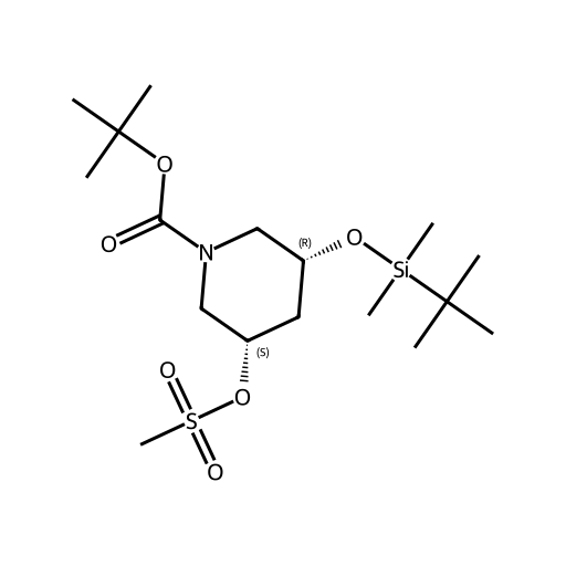 CC(C)(C)OC(=O)N1C[C@H](O[Si](C)(C)C(C)(C)C)C[C@H](OS(C)(=O)=O)C1